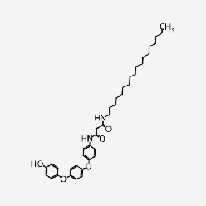 CCCCCCCCCCCCCCCCCCNC(=O)CC(=O)Nc1ccc(Oc2ccc(Oc3ccc(O)cc3)cc2)cc1